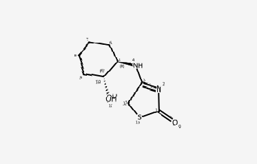 O=C1N=C(N[C@@H]2CCCC[C@H]2O)CS1